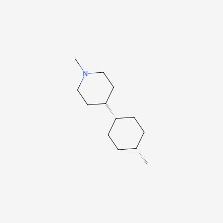 CN1CCC([C@H]2CC[C@@H](C)CC2)CC1